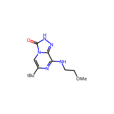 COCCNc1nc(C(C)(C)C)cn2c(=O)[nH]nc12